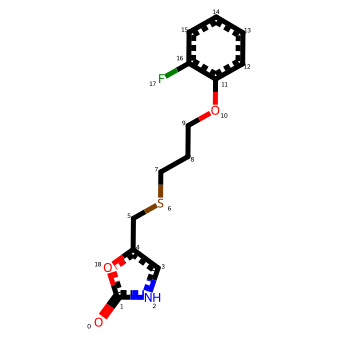 O=c1[nH]cc(CSCCCOc2ccccc2F)o1